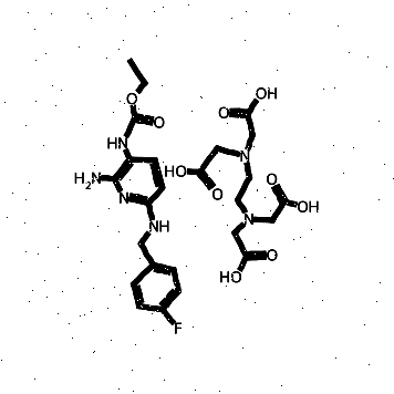 CCOC(=O)Nc1ccc(NCc2ccc(F)cc2)nc1N.O=C(O)CN(CCN(CC(=O)O)CC(=O)O)CC(=O)O